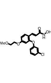 COCCOc1ccc(C=CC(=O)NO)c(Oc2cccc(Cl)c2)c1